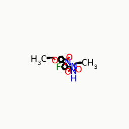 CC#CCOc1ccc2c(c1)CN(C[C@]1(c3ccc(F)cc3)C(=O)NC(=O)N1CC#CC)C2=O